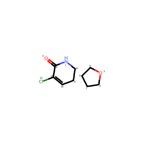 C1CCOC1.O=C1NCCC=C1Cl